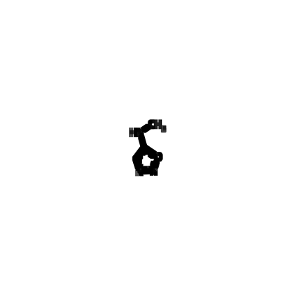 CNc1cnno1